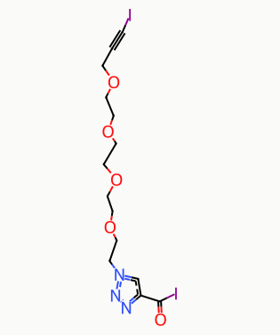 O=C(I)c1cn(CCOCCOCCOCCOCC#CI)nn1